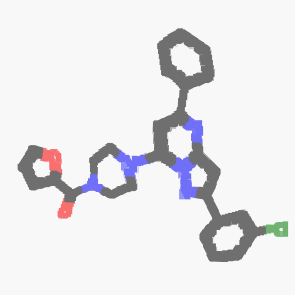 O=C(c1ccco1)N1CCN(c2cc(-c3ccccc3)nc3cc(-c4cccc(Cl)c4)nn23)CC1